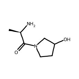 C[C@@H](N)C(=O)N1CCC(O)C1